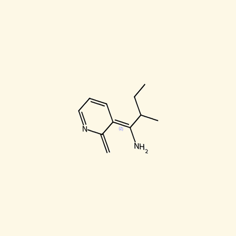 C=c1nccc/c1=C(/N)C(C)CC